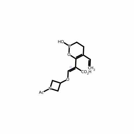 C=CC1=C(/C(=C/OC2CN(C(C)=O)C2)C(=O)O)OB(O)CC1